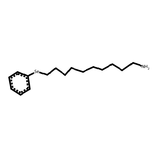 NCCCCCCCCCC[Se]c1ccccc1